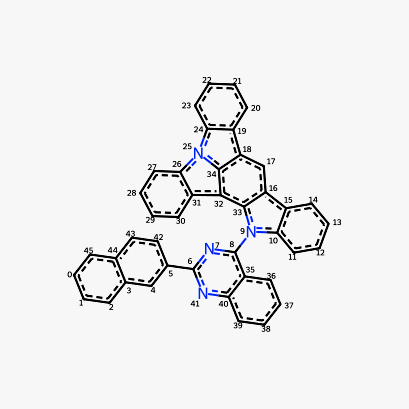 c1ccc2cc(-c3nc(-n4c5ccccc5c5cc6c7ccccc7n7c8ccccc8c(c54)c67)c4ccccc4n3)ccc2c1